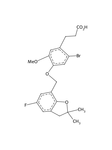 COc1cc(CCC(=O)O)c(Br)cc1OCc1cc(F)cc2c1OC(C)(C)C2